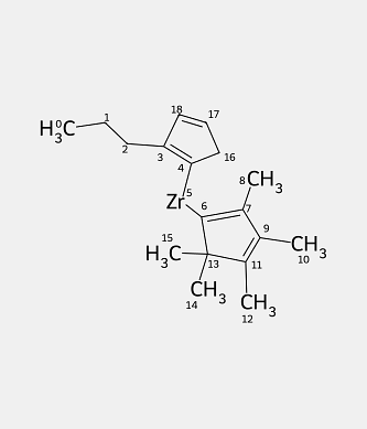 CCCC1=[C]([Zr][C]2=C(C)C(C)=C(C)C2(C)C)CC=C1